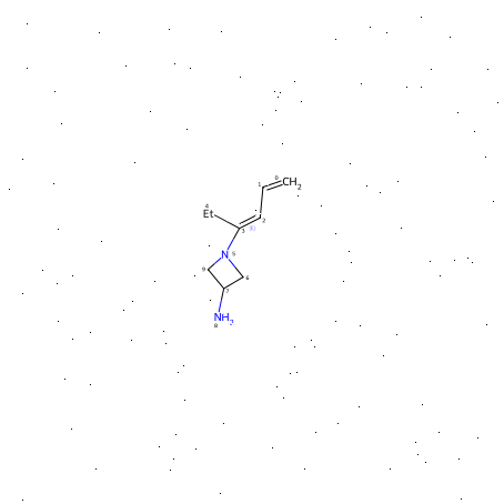 C=C/C=C(\CC)N1CC(N)C1